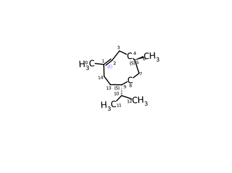 C/C1=C\CC[C@@H](C)CC[C@H](C(C)C)CC1